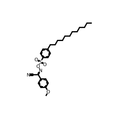 CCCCCCCCCCCCc1ccc(S(=O)(=O)ON=C(C#N)c2ccc(OC)cc2)cc1